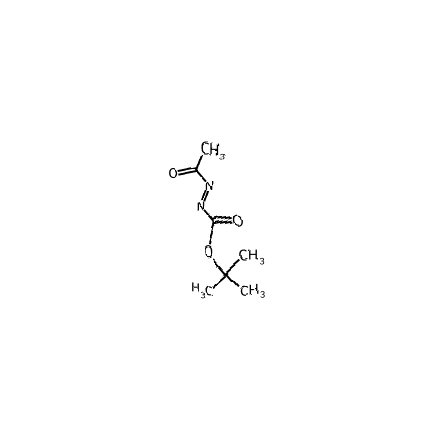 CC(=O)/N=N/C(=O)OC(C)(C)C